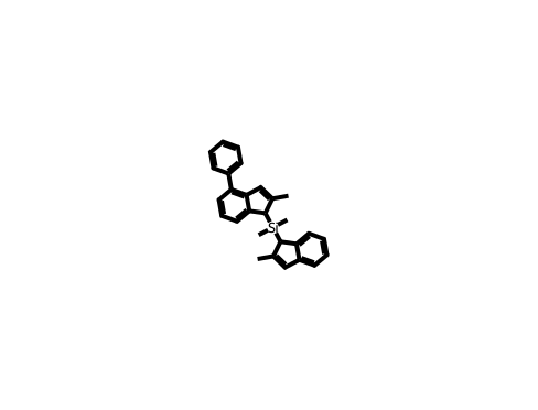 CC1=Cc2ccccc2C1[Si](C)(C)C1C(C)=Cc2c(-c3ccccc3)cccc21